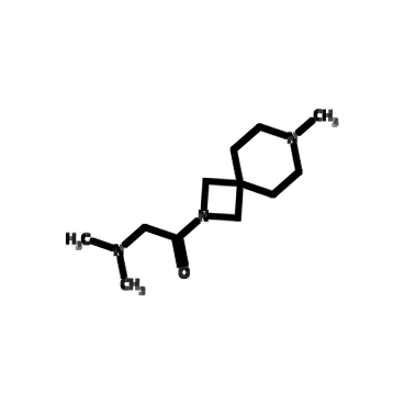 CN(C)CC(=O)N1CC2(CCN(C)CC2)C1